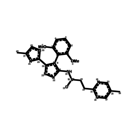 COc1cccc(OC)c1-n1c(N[S+]([O-])CCc2ncc(C)cn2)nnc1-c1nc(C)cs1